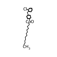 CCCCCCCCCCCCC[CH2][Co](=[O])[c]1ccc(Cc2ccccc2Cl)cc1